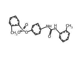 Cc1ccccc1NC(=O)Nc1ccc(OS(=O)(=O)c2ccccc2C)cc1